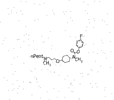 CCCCCN(C)CCCO[C@H]1CC[C@H](N(C)C(=O)Oc2ccc(F)cc2)CC1